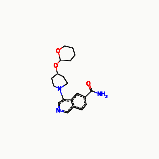 NC(=O)c1ccc2cncc(N3CCC(OC4CCCCO4)CC3)c2c1